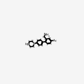 CC(=O)c1ccc(-c2ccc(N3CCNCC3)cc2)c(CN)c1